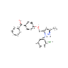 O=C(c1ccccc1)c1ccc(OCc2cc(C(F)(F)F)nn2-c2ccccc2Cl)cc1